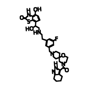 O=C(c1[nH]nc2c1CCCC2)N1CCOC2(CCN(Cc3cc(F)cc(CCNCC(O)c4ccc(O)c5[nH]c(=O)sc45)c3)CC2)C1